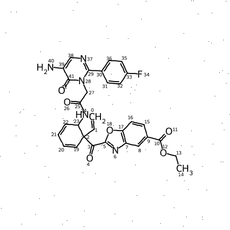 C=CC1(C(=O)c2nc3cc(C(=O)OCC)ccc3o2)C=CC=CC1NC(=O)Cn1c(-c2ccc(F)cc2)ncc(N)c1=O